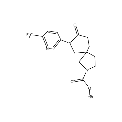 CC(C)(C)OC(=O)N1CCC2(CCC(=O)N(c3ccc(C(F)(F)F)nc3)C2)C1